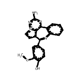 COc1cc(C2=Nc3ccccc3-c3nc(N)nn4ccc2c34)ccc1O